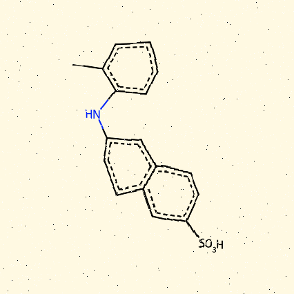 Cc1ccccc1Nc1ccc2cc(S(=O)(=O)O)ccc2c1